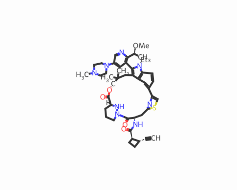 C#C[C@@H]1CC[C@H]1C(=O)N[C@H]1Cc2nc(cs2)-c2ccc3c(c2)c(c(-c2cc(N4CCN(C)CC4)cnc2[C@H](C)OC)n3CC)CC(C)(C)COC(=O)[C@@H]2CCCN(N2)C1=O